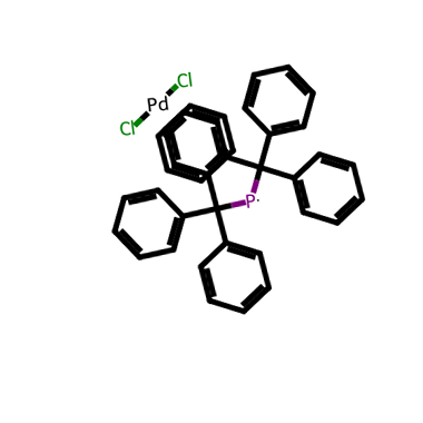 [Cl][Pd][Cl].c1ccc(C([P]C(c2ccccc2)(c2ccccc2)c2ccccc2)(c2ccccc2)c2ccccc2)cc1